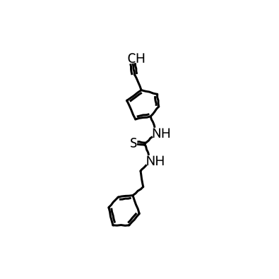 C#Cc1ccc(NC(=S)NCCc2ccccc2)cc1